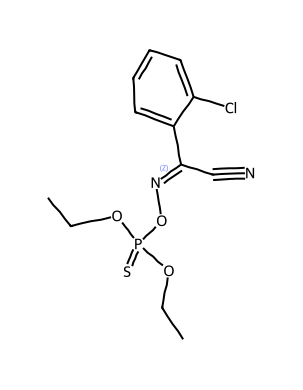 CCOP(=S)(OCC)O/N=C(\C#N)c1ccccc1Cl